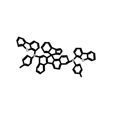 Cc1ccc(N(c2ccc3c4c(ccc3c2)-c2c(cc(N(c3ccc(C)cc3)c3cccc5c3oc3ccccc35)c3ccccc23)C42c3ccccc3-c3ccccc32)c2cccc3c2oc2ccccc23)cc1